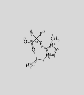 C=CC[n+]1ccn(C)c1.O=C([O-])C(F)(F)F